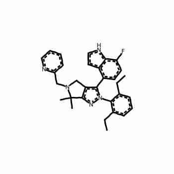 CCc1cccc(CC)c1-n1nc2c(c1-c1ccc(F)c3[nH]ccc13)CN(Cc1ccccn1)C2(C)C